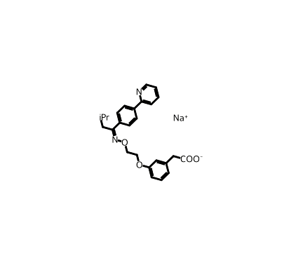 CC(C)CC(=NOCCOc1cccc(CC(=O)[O-])c1)c1ccc(-c2ccccn2)cc1.[Na+]